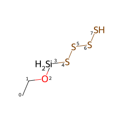 CCO[SiH2]SSSS